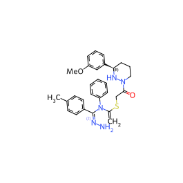 C=C(SCC(=O)N1CCC[C@H](c2cccc(OC)c2)N1)N(/C(=N\N)c1ccc(C)cc1)c1ccccc1